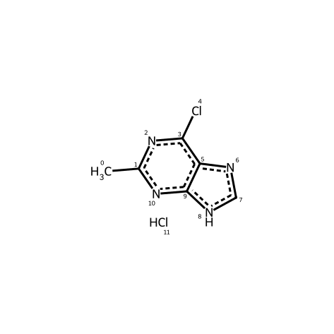 Cc1nc(Cl)c2nc[nH]c2n1.Cl